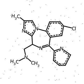 Cc1cn2c(n1)C(CN(C)C)N=C(c1ccccn1)c1cc(Cl)ccc1-2